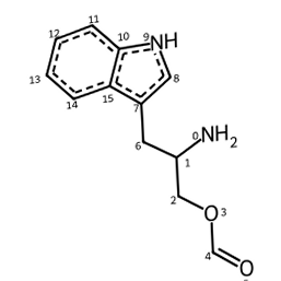 NC(COC=O)Cc1c[nH]c2ccccc12